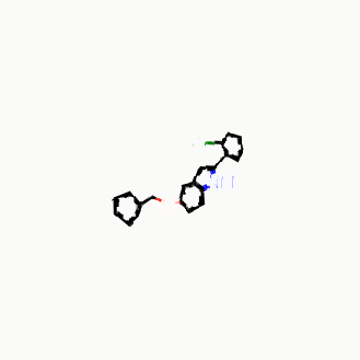 Clc1ccccc1-c1cc2cc(OCc3ccccc3)ccc2[nH]1